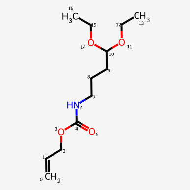 C=CCOC(=O)NCCCC(OCC)OCC